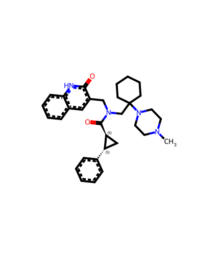 CN1CCN(C2(CN(Cc3cc4ccccc4[nH]c3=O)C(=O)[C@H]3C[C@@H]3c3ccccc3)CCCCC2)CC1